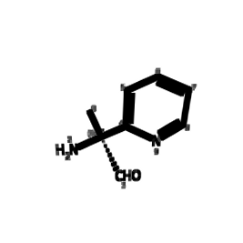 C[C@@](N)(C=O)c1ccccn1